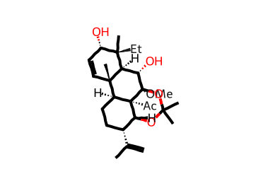 C=C(C)[C@@H]1CC[C@H]2[C@]3(C)C=C[C@H](O)[C@@](C)(CC)[C@H]3[C@H](O)[C@]3(OC)OC(C)(C)O[C@H]1[C@@]23C(C)=O